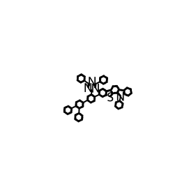 c1ccc(-c2nc(-c3ccccc3)nc(-c3cc(-c4ccc(-c5ccccc5)c(-c5ccccc5)c4)ccc3-c3ccc4c(c3)sc3c4ccc4c5ccccc5n(-c5ccccc5)c43)n2)cc1